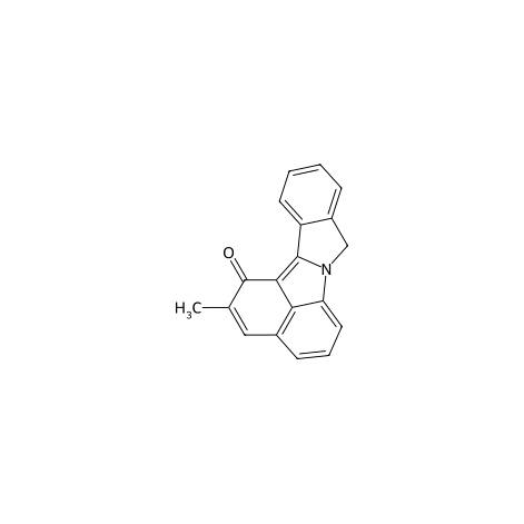 CC1=Cc2cccc3c2c(c2n3Cc3ccccc3-2)C1=O